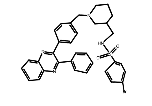 O=S(=O)(NCC1CCCN(Cc2ccc(-c3nc4ccccc4nc3-c3ccccc3)cc2)C1)c1ccc(Br)cc1